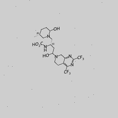 C[C@@H]1CCC(O)N(C[C@H](CC(O)N2CCc3c(nc(C(F)(F)F)nc3C(F)(F)F)C2)NC(=O)O)C1